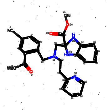 COC(=O)c1cc(C#N)ccc1CN(CCc1ccccn1)CC1(C(=O)OC(C)(C)C)Nc2ccccc2N1